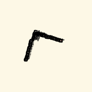 [CH3][Mg+].[Cl-].[Cl-].[Cl-].[Cl-].[Cl-].[Cl-].[Cl-].[Cl-].[Cl-].[Cl-].[Cl-].[Cl-].[Cl-].[Cl-].[Cl-].[Cl-].[Cl-].[Cl-].[Cl-].[Cl-].[Cl-].[Cl-].[Cl-].[Cl-].[Cl-].[Cl-].[Cl-].[Cl-].[Cl-].[Cl-].[Cl-].[Cl-].[Cl-].[Cl-].[N+3].[N+3].[N+3].[N+3].[N+3].[N+3].[N+3].[N+3].[N+3].[N+3].[N+3]